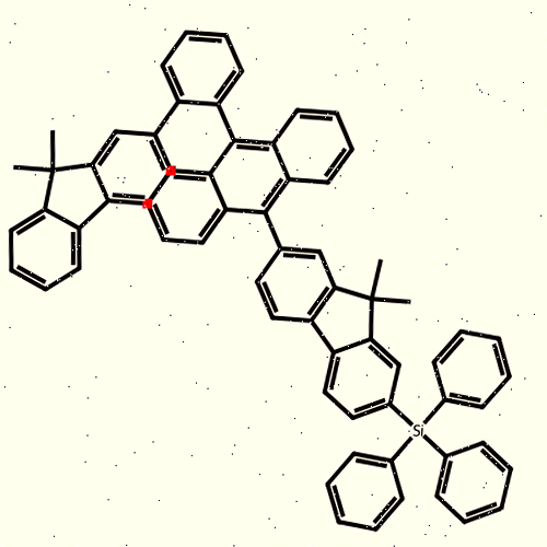 CC1(C)c2ccccc2-c2ccc(-c3ccccc3-c3c4ccccc4c(-c4ccc5c(c4)C(C)(C)c4cc([Si](c6ccccc6)(c6ccccc6)c6ccccc6)ccc4-5)c4ccccc34)cc21